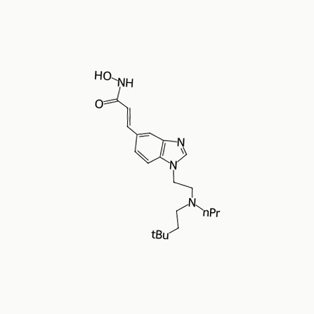 CCCN(CCn1cnc2cc(C=CC(=O)NO)ccc21)CCC(C)(C)C